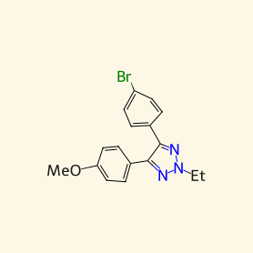 CCn1nc(-c2ccc(Br)cc2)c(-c2ccc(OC)cc2)n1